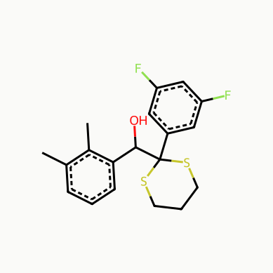 Cc1cccc(C(O)C2(c3cc(F)cc(F)c3)SCCCS2)c1C